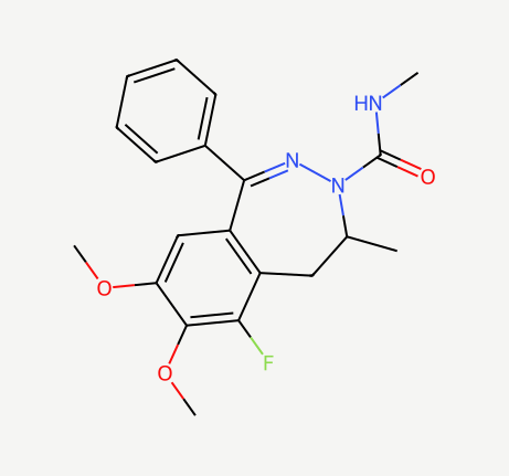 CNC(=O)N1N=C(c2ccccc2)c2cc(OC)c(OC)c(F)c2CC1C